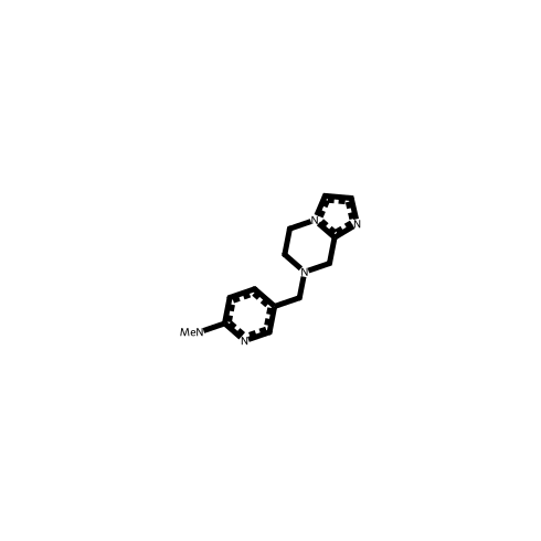 CNc1ccc(CN2CCn3ccnc3C2)cn1